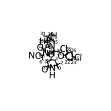 CC1(C)CC[C@@H](C[C@@H](C#N)NC(=O)[C@@H]2[C@@H]3[C@H](CN2C(=O)COc2ccc(Cl)cc2Cl)C3(C)C)C(=O)N1